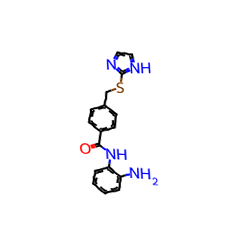 Nc1ccccc1NC(=O)c1ccc(CSc2ncc[nH]2)cc1